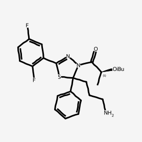 CC(C)CO[C@@H](C)C(=O)N1N=C(c2cc(F)ccc2F)SC1(CCCN)c1ccccc1